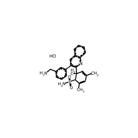 CC1=CC(C)(c2nc3ccccc3cc2-c2cccc(CN)c2)C(S(N)(=O)=O)C(C)=C1.Cl